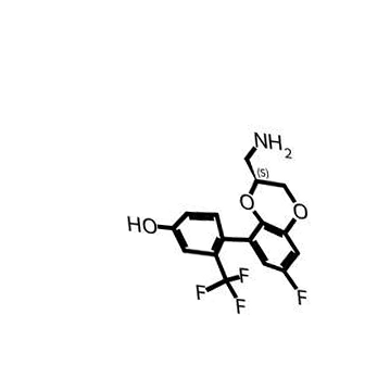 NC[C@H]1COc2cc(F)cc(-c3ccc(O)cc3C(F)(F)F)c2O1